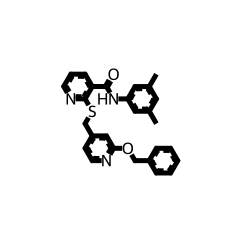 Cc1cc(C)cc(NC(=O)c2cccnc2SCc2ccnc(OCc3ccccc3)c2)c1